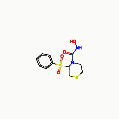 O=C(NO)N1CCSCC1S(=O)(=O)c1ccccc1